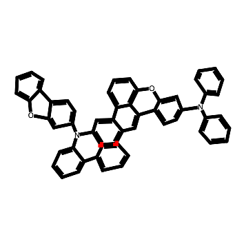 c1ccc(-c2ccccc2N(c2ccc3c(c2)oc2ccccc23)c2ccc3cc4c5c(cccc5c3c2)Oc2cc(N(c3ccccc3)c3ccccc3)ccc2-4)cc1